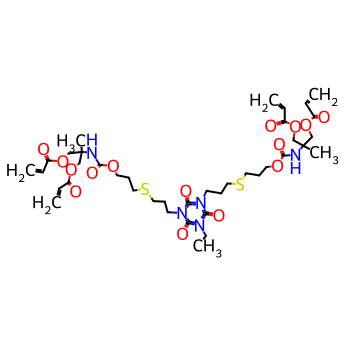 C=CC(=O)OCC(C)(COC(=O)C=C)NC(=O)OCCCSCCCn1c(=O)n(CC)c(=O)n(CCCSCCCOC(=O)NC(C)(COC(=O)C=C)COC(=O)C=C)c1=O